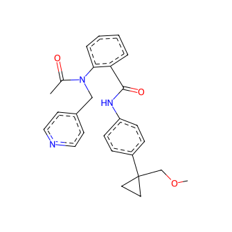 COCC1(c2ccc(NC(=O)c3ccccc3N(Cc3ccncc3)C(C)=O)cc2)CC1